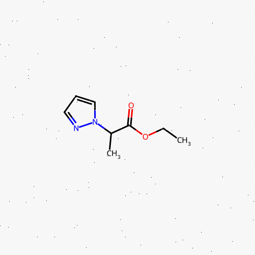 CCOC(=O)C(C)n1cccn1